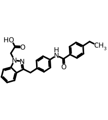 CCc1ccc(C(=O)Nc2ccc(Cc3nn(CC(=O)O)c4ccccc34)cc2)cc1